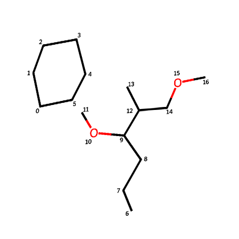 C1CCCCC1.CCCC(OC)C(C)COC